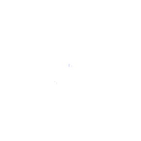 CC(C)(C)OC(=O)ONc1nc(C(F)(F)F)c(C(=O)O)s1